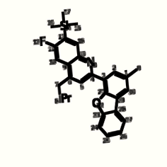 Cc1cc(-c2cc(CC(C)C)c3cc(F)c([Si](C)(C)C)cc3n2)c2oc3ccccc3c2c1